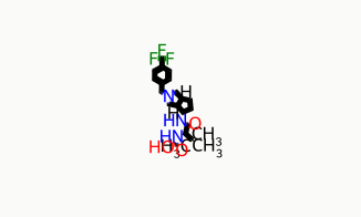 CC(C)(C)[C@H](NC(=O)O)C(=O)N[C@H]1CC[C@@H]2CN(Cc3ccc(C(F)(F)F)cc3)C[C@@H]21